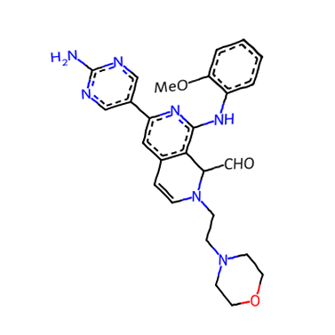 COc1ccccc1Nc1nc(-c2cnc(N)nc2)cc2c1C(C=O)N(CCN1CCOCC1)C=C2